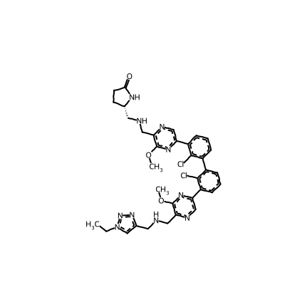 CCn1cc(CNCc2ncc(-c3cccc(-c4cccc(-c5cnc(CNC[C@@H]6CCC(=O)N6)c(OC)n5)c4Cl)c3Cl)nc2OC)nn1